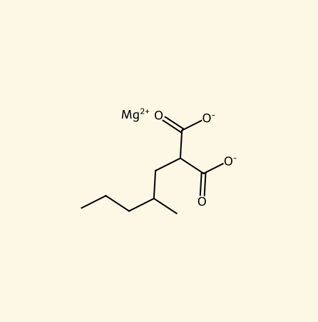 CCCC(C)CC(C(=O)[O-])C(=O)[O-].[Mg+2]